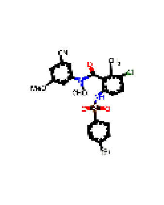 COc1cc(C#N)cc(N(C=O)C(=O)c2c(NS(=O)(=O)c3ccc(C(C)(C)C)cc3)ccc(Cl)c2C)c1